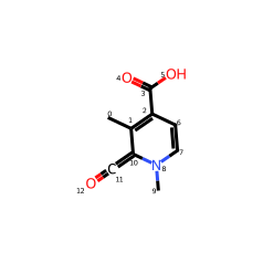 CC1=C(C(=O)O)C=CN(C)C1=C=O